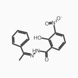 CC(=NNC(=O)c1cccc([N+](=O)[O-])c1O)c1ccccc1